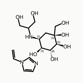 C=Cn1ccnc1.OCC(CO)N[C@H]1C[C@](O)(CO)[C@@H](O)[C@H](O)[C@H]1O